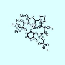 CC[C@H](C)[C@@H]([C@H](CC(=O)N1CCC[C@H]1[C@H](OC)[C@@H](C)C(=O)N[C@@H](Cc1ccccc1)CS(N)(=O)=O)OC)N(C)C(=O)[C@@H](N)C(C)C